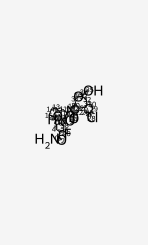 NC(=O)c1ccc(NC(=O)C(C[C@@H]2CCCCO2)n2cc3c(cc2=O)-c2cc(Cl)ccc2CC(CO)OC3)cc1F